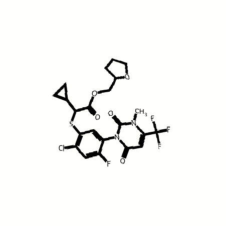 Cn1c(C(F)(F)F)cc(=O)n(-c2cc(SC(C(=O)OCC3CCCO3)C3CC3)c(Cl)cc2F)c1=O